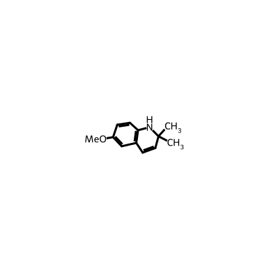 COc1ccc2c(c1)C=CC(C)(C)N2